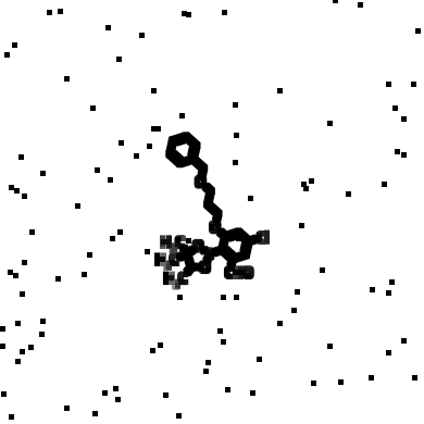 CC1OB(c2c(C=O)cc(Cl)cc2OCCCOCc2ccccc2)OC1(C)C